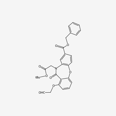 CC(C)(C)OC(=O)CN1C(=O)c2c(OCC=O)cccc2Oc2ccc(C(=O)OCc3ccccc3)cc21